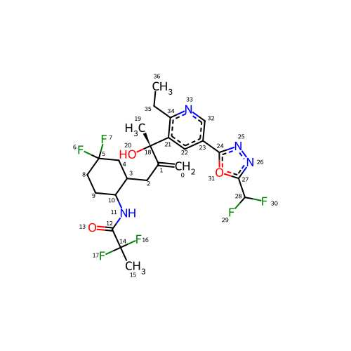 C=C(CC1CC(F)(F)CCC1NC(=O)C(C)(F)F)[C@](C)(O)c1cc(-c2nnc(C(F)F)o2)cnc1CC